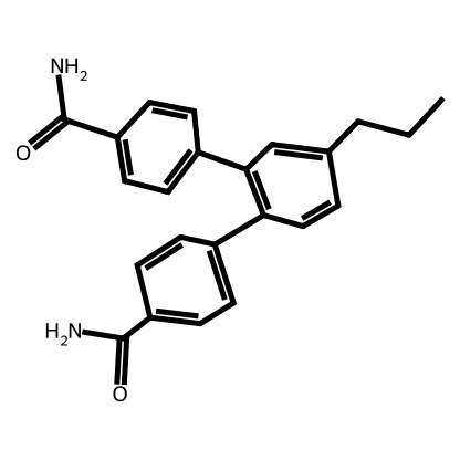 CCCc1ccc(-c2ccc(C(N)=O)cc2)c(-c2ccc(C(N)=O)cc2)c1